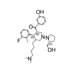 Cc1c(F)cccc1[C@@H]1[C](CCCCN(C)C)CN(N2CCC[C@H]2CO)C[C@@H]1C(=O)c1cccc(O)c1